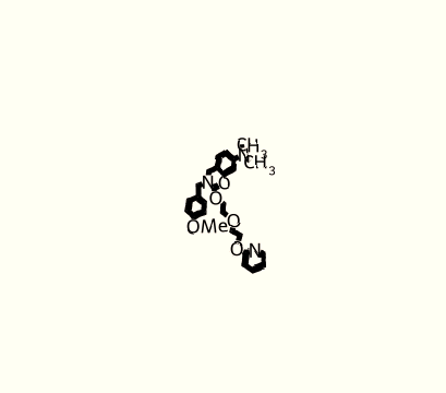 COc1ccc(CN(Cc2ccc(N(C)C)cc2)C(=O)OCCOCCOc2ccccn2)cc1